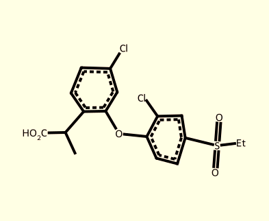 CCS(=O)(=O)c1ccc(Oc2cc(Cl)ccc2C(C)C(=O)O)c(Cl)c1